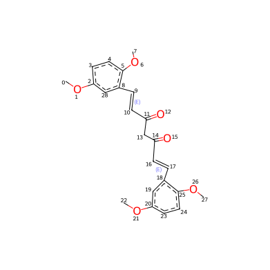 COc1ccc(OC)c(/C=C/C(=O)CC(=O)/C=C/c2cc(OC)ccc2OC)c1